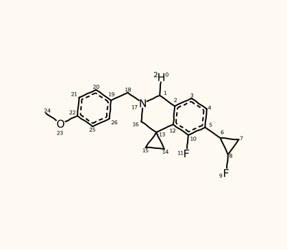 [2H]C1c2ccc(C3CC3F)c(F)c2C2(CC2)CN1Cc1ccc(OC)cc1